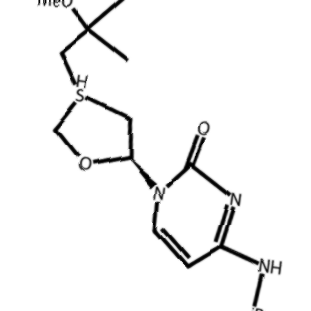 COC(C)(C)C[SH]1CO[C@H](n2ccc(NC(C)C)nc2=O)C1